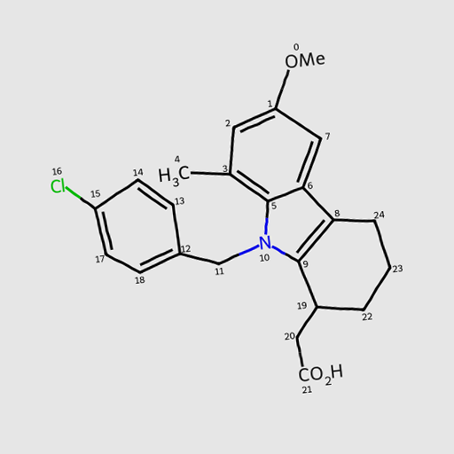 COc1cc(C)c2c(c1)c1c(n2Cc2ccc(Cl)cc2)C(CC(=O)O)CCC1